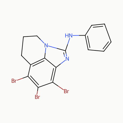 Brc1c(Br)c2c3c(nc(Nc4ccccc4)n3CCC2)c1Br